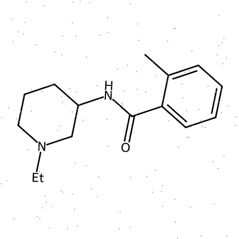 CCN1CCCC(NC(=O)c2ccccc2C)C1